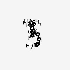 CN1CCCN(Cc2ccc(-c3cccc(-n4c(=O)n(C5CCC(NC(=O)C(C)(C)N)CC5)c(=O)c5cc(F)cnc54)c3)cc2)CC1